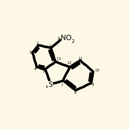 O=[N+]([O-])c1cccc2sc3ccccc3c12